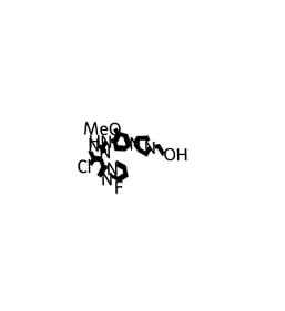 COc1cc(N2CCN(CCO)CC2)ccc1Nc1ncc(Cl)c(-c2cnc3c(F)cccn23)n1